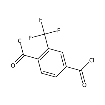 O=C(Cl)c1ccc(C(=O)Cl)c(C(F)(F)F)c1